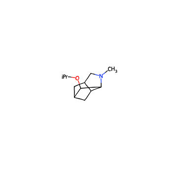 CC(C)OC1C2CC3CN(C)C1C3C2